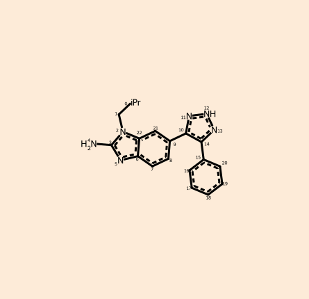 CC(C)Cn1c(N)nc2ccc(-c3n[nH]nc3-c3ccccc3)cc21